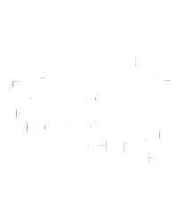 CO[Si](CCC(F)(F)F)(OC)OC(CCC(F)(F)F)CCC(F)(F)F